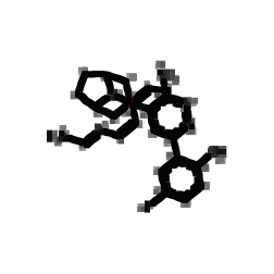 C\C=C(/C=C\N=C\N)N1C2CCC1CN(c1cc(-c3cc(F)ccc3O)nnc1N)C2